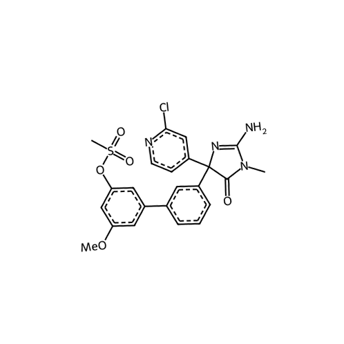 COc1cc(OS(C)(=O)=O)cc(-c2cccc(C3(c4ccnc(Cl)c4)N=C(N)N(C)C3=O)c2)c1